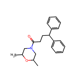 BC1CN(C(=O)CCC(c2ccccc2)c2ccccc2)CC(C)O1